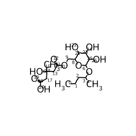 CCCC(C)OC1OC(COC(=O)CC(C)(O)CC(=O)O)C(O)C(O)C1O